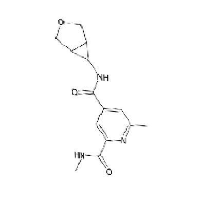 CNC(=O)c1cc(C(=O)NC2C3COCC32)cc(C)n1